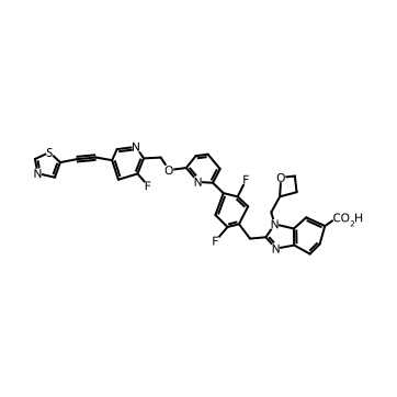 O=C(O)c1ccc2nc(Cc3cc(F)c(-c4cccc(OCc5ncc(C#Cc6cncs6)cc5F)n4)cc3F)n(CC3CCO3)c2c1